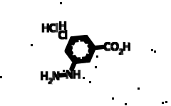 Cl.Cl.NNc1cccc(C(=O)O)c1